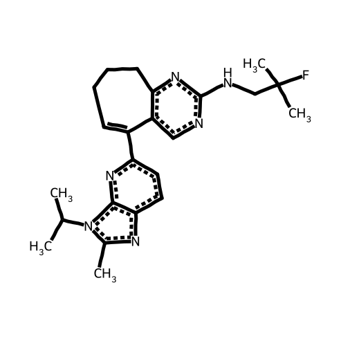 Cc1nc2ccc(C3=CCCCc4nc(NCC(C)(C)F)ncc43)nc2n1C(C)C